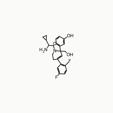 NC(C(=O)N1CCC(c2cc(F)ccc2F)=CC1(CO)c1cccc(O)c1)C1CC1